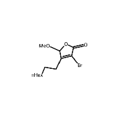 CCCCCCCCC1=C(Br)C(=O)OC1OC